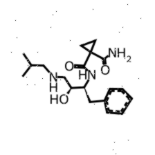 CC(C)CNC[C@H](O)[C@H](Cc1ccccc1)NC(=O)C1(C(N)=O)CC1